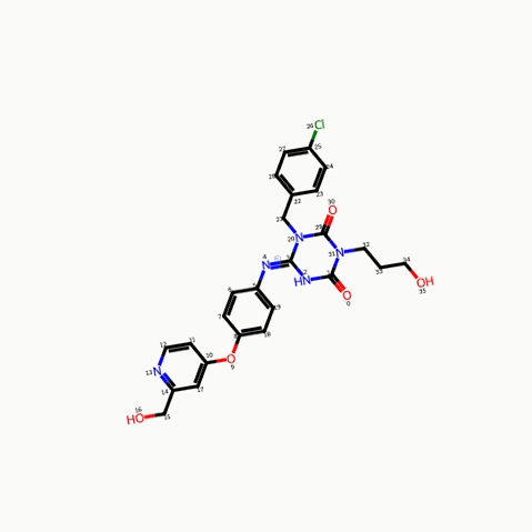 O=c1[nH]/c(=N\c2ccc(Oc3ccnc(CO)c3)cc2)n(Cc2ccc(Cl)cc2)c(=O)n1CCCO